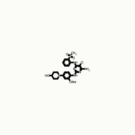 COc1cc(N2CCC(O)CC2)ccc1Nc1nc(N)c(Cl)c(Nc2ccccc2S(C)(=O)=O)n1